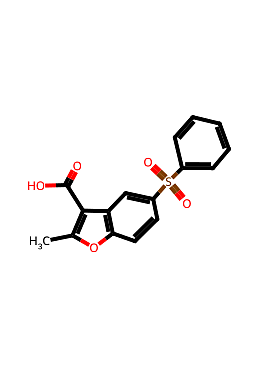 Cc1oc2ccc(S(=O)(=O)c3ccccc3)cc2c1C(=O)O